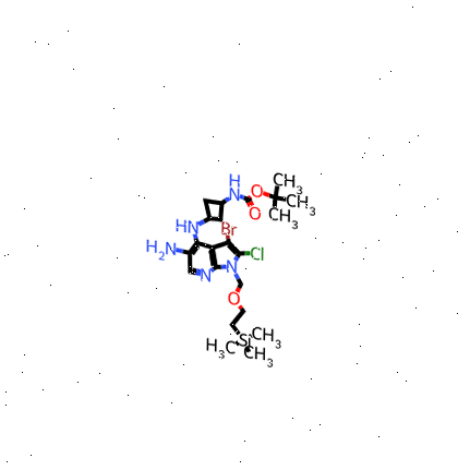 CC(C)(C)OC(=O)NC1CC(Nc2c(N)cnc3c2c(Br)c(Cl)n3COCC[Si](C)(C)C)C1